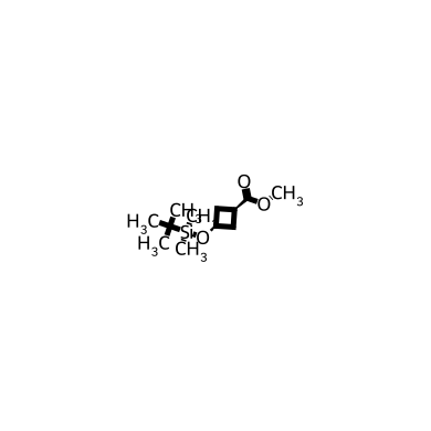 COC(=O)[C@H]1C[C@H](O[Si](C)(C)C(C)(C)C)C1